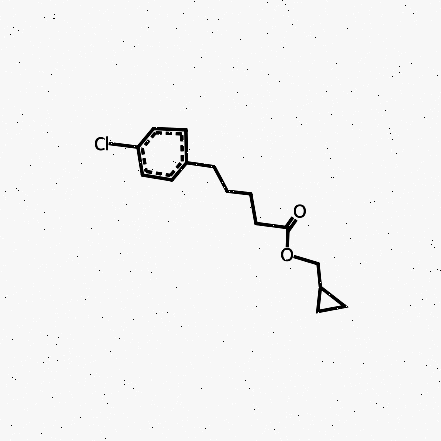 O=C(CCCCc1ccc(Cl)cc1)OCC1CC1